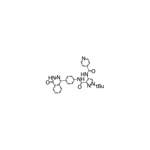 CC(C)(C)n1cc(NC(=O)c2ccncc2)c(C(=O)Nc2ccc(-c3n[nH]c(=O)c4ccccc34)cc2)n1